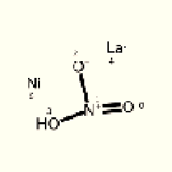 O=[N+]([O-])O.[La].[Ni]